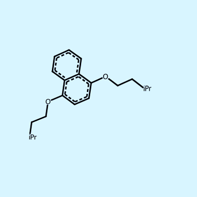 CC(C)CCOc1ccc(OCCC(C)C)c2ccccc12